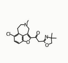 CN1CCc2c(Cl)ccc3oc(C(=O)CC4=NC(C)(C)CO4)c(c23)C1